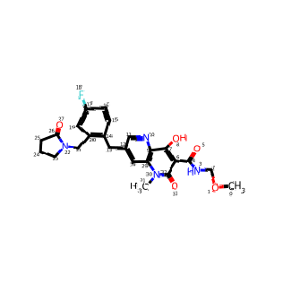 COCNC(=O)c1c(O)c2ncc(Cc3ccc(F)cc3CN3CCCC3=O)cc2n(C)c1=O